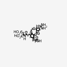 N=C(N)Nc1ccc2c(c1)OCCOc1c(CCC(=O)N[C@@H](CC(=O)O)C(=O)O)cccc1OC2=O.O=C(O)C(F)(F)F